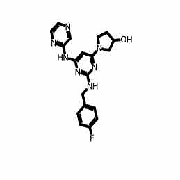 OC1CCN(c2cc(Nc3cnccn3)nc(NCc3ccc(F)cc3)n2)C1